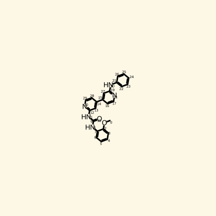 COc1ccccc1NC(=O)Nc1cc(-c2ccnc(Nc3ccccc3)c2)ccn1